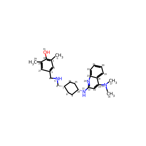 Cc1cc(CNC[C@H]2CC[C@@H](Nc3cc(N(C)C)c4ccccc4n3)CC2)cc(C)c1O